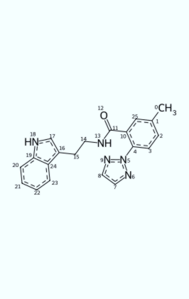 Cc1ccc(-n2nccn2)c(C(=O)NCCc2c[nH]c3ccccc23)c1